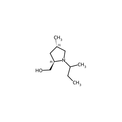 CCC(C)N1C[C@@H](C)C[C@@H]1CO